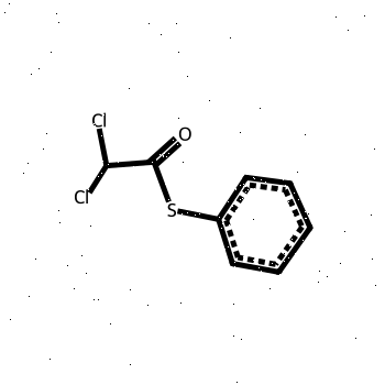 O=C(Sc1ccccc1)C(Cl)Cl